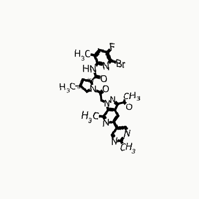 CC(=O)c1nn(CC(=O)N2C[C@H](C)C[C@H]2C(=O)Nc2nc(Br)c(F)cc2C)c2c(C)nc(-c3cnc(C)nc3)cc12